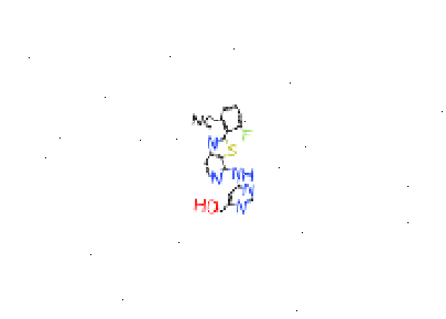 N#Cc1cccc(F)c1-c1nc2ccnc(Nc3cc(CO)ncn3)c2s1